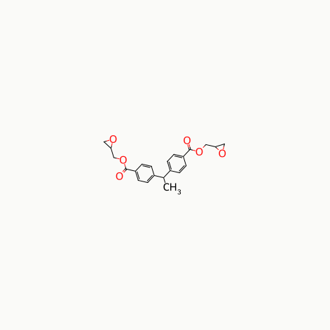 CC(c1ccc(C(=O)OCC2CO2)cc1)c1ccc(C(=O)OCC2CO2)cc1